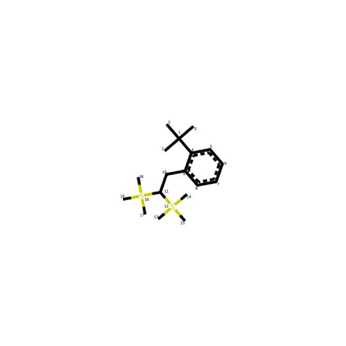 CC(C)(C)c1ccccc1CC(S(C)(C)C)S(C)(C)C